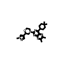 Cc1nc2nc(N3CCOC(c4cnn(C)c4)C3)nc(C3CCC(C)(C)CC3)c2nc1C